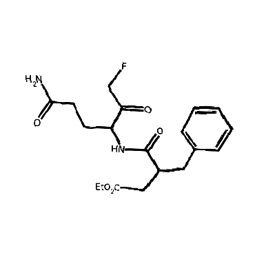 CCOC(=O)CC(Cc1ccccc1)C(=O)NC(CCC(N)=O)C(=O)CF